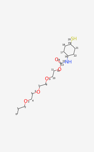 CCCOCCOCCOCCOC(=O)NC1CCC(S)CC1